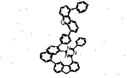 c1ccc(-c2ccc3c(c2)-c2c(cccc2-c2nc(-c4ccccc4)nc(-c4ccccc4-c4ccc(-c5cccc6c5oc5cccc(-c7ccccc7)c56)cc4)n2)C3)cc1